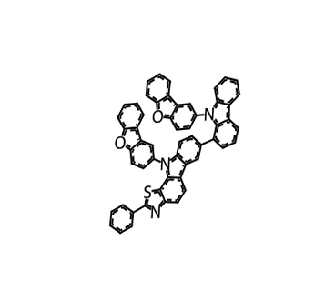 c1ccc(-c2nc3ccc4c5cc(-c6cccc7c8ccccc8n(-c8ccc9oc%10ccccc%10c9c8)c67)ccc5n(-c5ccc6oc7ccccc7c6c5)c4c3s2)cc1